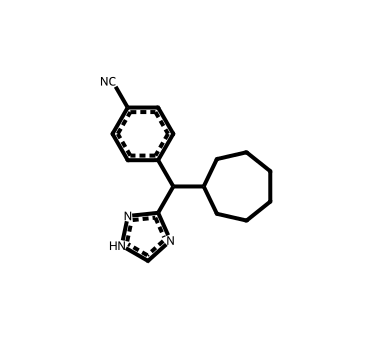 N#Cc1ccc(C(c2nc[nH]n2)C2CCCCCC2)cc1